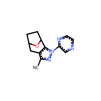 N#Cc1nn(-c2cnccn2)c2c1CC1CCC2O1